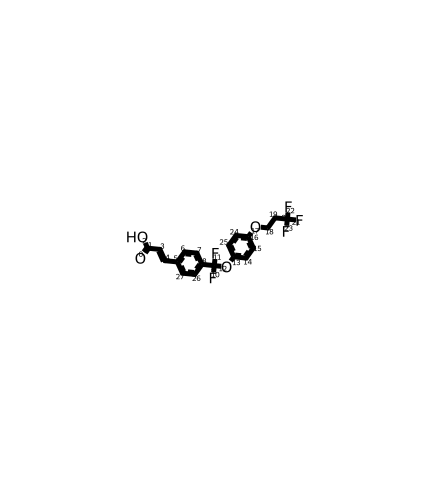 O=C(O)C=Cc1ccc(C(F)(F)Oc2ccc(OCCC(F)(F)F)cc2)cc1